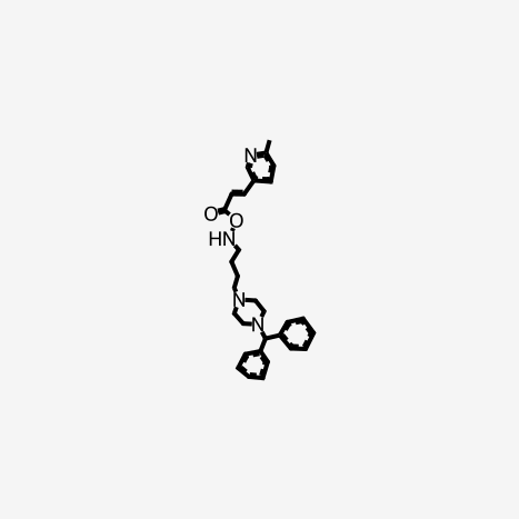 Cc1ccc(C=CC(=O)ONCCCCN2CCN(C(c3ccccc3)c3ccccc3)CC2)cn1